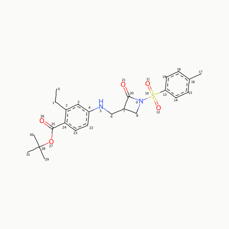 CCc1cc(NCC2CN(S(=O)(=O)c3ccc(C)cc3)C2=O)ccc1C(=O)OC(C)(C)C